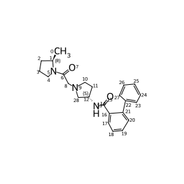 C[C@@H]1CCCN1C(=O)CN1CC[C@H](NC(=O)c2ccccc2-c2ccccc2)C1